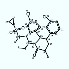 CC[C@@H](CN(C)S(=O)(=O)C1CC1)N1C(=O)C(C)CC(c2cccc(Cl)c2)C1c1ccc(Cl)cc1